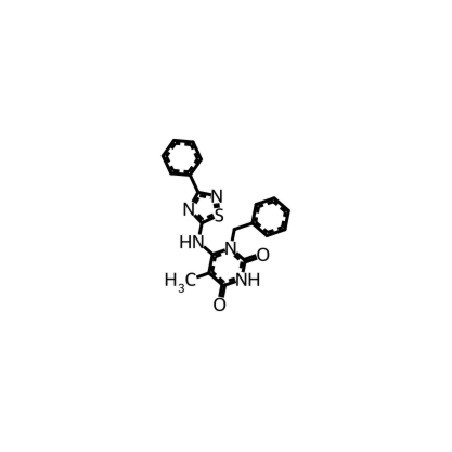 Cc1c(Nc2nc(-c3ccccc3)ns2)n(Cc2ccccc2)c(=O)[nH]c1=O